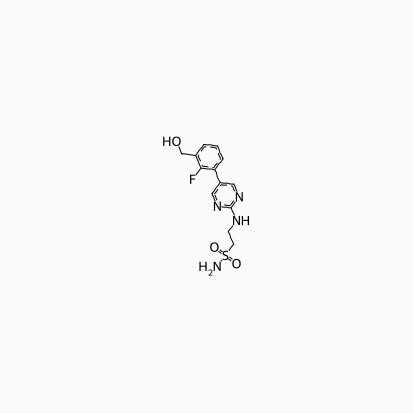 NS(=O)(=O)CCNc1ncc(-c2cccc(CO)c2F)cn1